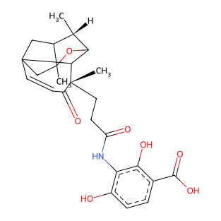 C[C@@H]1C2OC3(C)CC4(C=CC(=O)[C@@](C)(CCC(=O)Nc5c(O)ccc(C(=O)O)c5O)C24)CC13